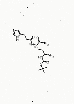 CC(C)(C)OC(=O)NC(N)CC[C@H](NC(=O)CCc1cnc[nH]1)C(N)=O